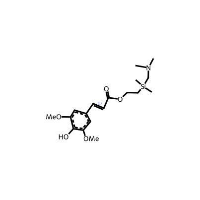 COc1cc(/C=C/C(=O)OCC[Si](C)(C)CN(C)C)cc(OC)c1O